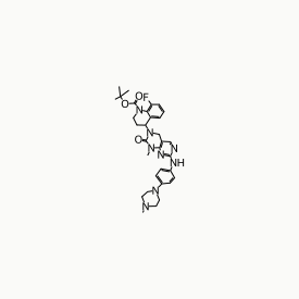 CN1CCN(c2ccc(Nc3ncc4c(n3)N(C)C(=O)N(C3CCN(C(=O)OC(C)(C)C)c5c(F)cccc53)C4)cc2)CC1